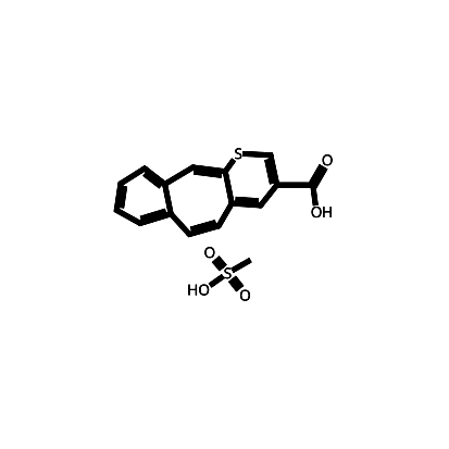 CS(=O)(=O)O.O=C(O)C1=CSC2=Cc3ccccc3C=CC2=C1